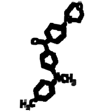 Cc1ccc(N(C)c2ccc(C(=O)c3ccc(N4CCOCC4)cc3)cc2)cc1